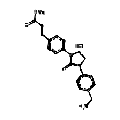 COC(=O)CCc1ccc(N2CCN(c3ccc(CN)cc3)C2=O)cc1.Cl